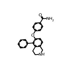 NC(=O)c1ccc(Oc2ccc3c(c2-c2ccccc2)CCNC3)cc1